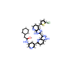 O=C(CC1CCCCC1)Nc1cncc(-c2ccc3[nH]nc(-c4nc5c(-c6ccc(Cl)s6)ccnc5[nH]4)c3n2)c1